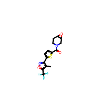 Cc1c(-c2ccc(C(=O)N3CCC4OC4C3)s2)noc1C(F)(F)F